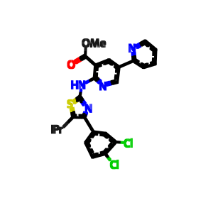 COC(=O)c1cc(-c2ccccn2)cnc1Nc1nc(-c2ccc(Cl)c(Cl)c2)c(C(C)C)s1